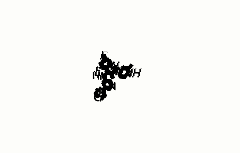 Cc1c(N2CCNC(C)C2)nc2cc(F)cc(F)c2c1Nc1cncc(N2CCOCC2)c1